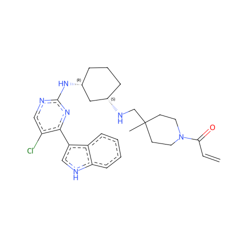 C=CC(=O)N1CCC(C)(CN[C@H]2CCC[C@@H](Nc3ncc(Cl)c(-c4c[nH]c5ccccc45)n3)C2)CC1